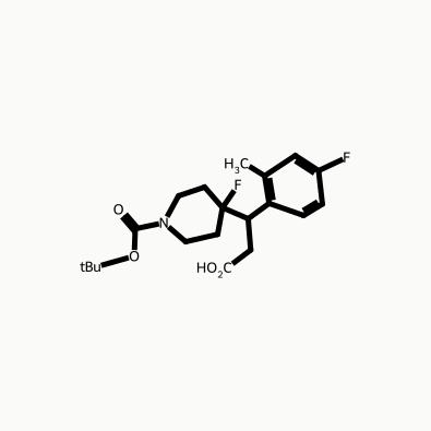 Cc1cc(F)ccc1C(CC(=O)O)C1(F)CCN(C(=O)OC(C)(C)C)CC1